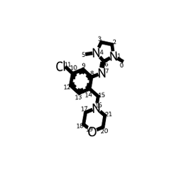 CN1CCN(C)C1=Nc1cc(Cl)ccc1CN1CCOCC1